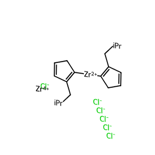 CC(C)CC1=[C]([Zr+2][C]2=C(CC(C)C)C=CC2)CC=C1.[Cl-].[Cl-].[Cl-].[Cl-].[Cl-].[Cl-].[Zr+4]